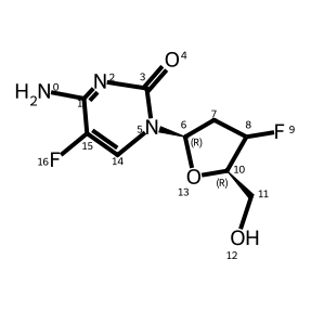 Nc1nc(=O)n([C@H]2CC(F)[C@@H](CO)O2)cc1F